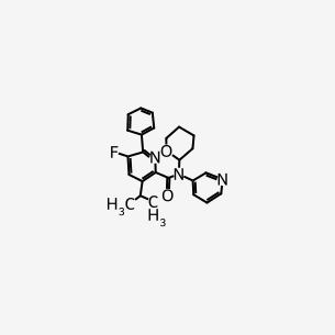 CC(C)c1cc(F)c(-c2ccccc2)nc1C(=O)N(c1cccnc1)C1CCCCO1